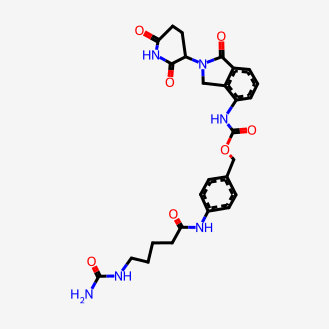 NC(=O)NCCCCC(=O)Nc1ccc(COC(=O)Nc2cccc3c2CN(C2CCC(=O)NC2=O)C3=O)cc1